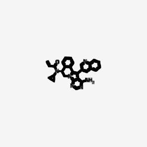 C=CC(=O)N(C1CC1)[C@@H]1Cn2c(c(-c3cnc4ccccc4c3)c3c(N)ncnc32)-c2ccccc21